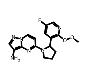 COOc1ncc(F)cc1C1CCCN1c1ccn2ncc(N)c2n1